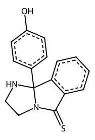 Oc1ccc(C23NCCN2C(=S)c2ccccc23)cc1